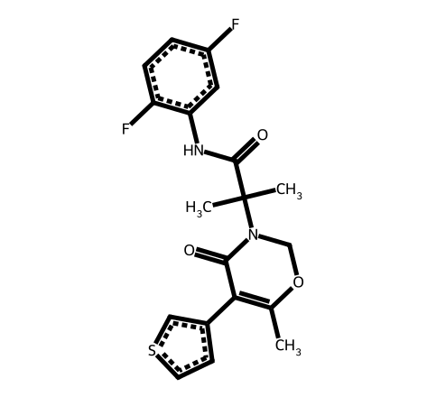 CC1=C(c2ccsc2)C(=O)N(C(C)(C)C(=O)Nc2cc(F)ccc2F)CO1